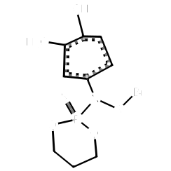 Cc1ccc(N(SBr)P2(=S)OCCCO2)cc1C